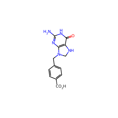 Nc1nc2c(c(=O)[nH]1)NCN2Cc1ccc(C(=O)O)cc1